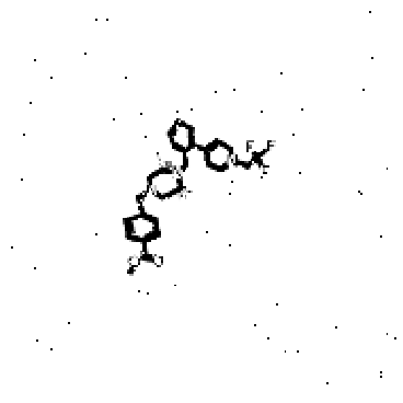 COC(=O)c1ccc(CN2C[C@@H](C)N(Cc3ccccc3C3=CCN(CC(F)(F)F)CC3)[C@@H](C)C2)cc1